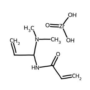 C=CC(=O)NC(C=C)N(C)C.[O]=[Zr]([OH])[OH]